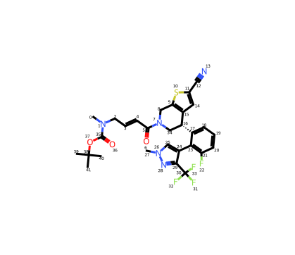 CN(C/C=C/C(=O)N1Cc2sc(C#N)cc2[C@H](c2cccc(F)c2-c2cn(C)nc2C(F)(F)F)C1)C(=O)OC(C)(C)C